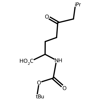 CC(C)CC(=O)CCC(NC(=O)OC(C)(C)C)C(=O)O